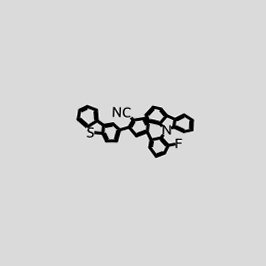 N#Cc1ccc(-c2cccc(F)c2-n2c3ccccc3c3ccccc32)cc1-c1ccc2sc3ccccc3c2c1